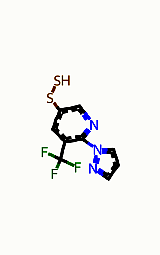 FC(F)(F)c1cc(SS)cnc1-n1cccn1